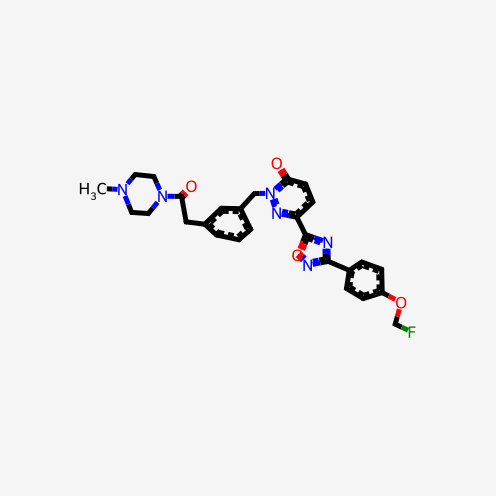 CN1CCN(C(=O)Cc2cccc(Cn3nc(-c4nc(-c5ccc(OCF)cc5)no4)ccc3=O)c2)CC1